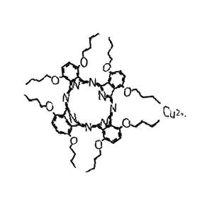 CCCCOc1ccc(OCCCC)c2c1-c1nc-2nc2[n-]c(nc3nc(nc4[n-]c(n1)c1c(OCCCC)ccc(OCCCC)c41)-c1c(OCCCC)ccc(OCCCC)c1-3)c1c(OCCCC)ccc(OCCCC)c21.[Cu+2]